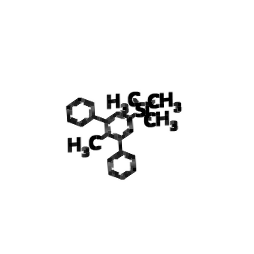 Cc1c(-c2ccccc2)cc([Si](C)(C)C)cc1-c1ccccc1